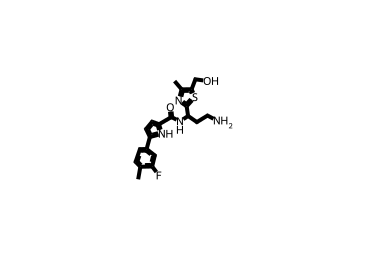 Cc1ccc(-c2ccc(C(=O)NC(CCN)c3nc(C)c(CO)s3)[nH]2)cc1F